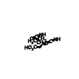 C.CC.CC(=O)CC(=O)O.N=C=O.N=C=O